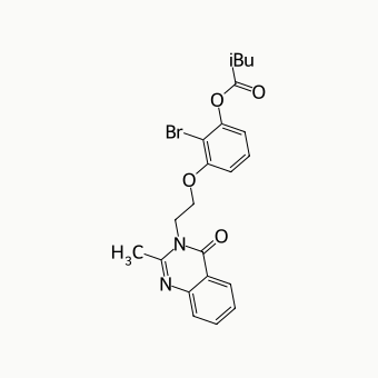 CCC(C)C(=O)Oc1cccc(OCCn2c(C)nc3ccccc3c2=O)c1Br